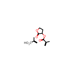 C=C(C)C(=O)O.C=C(C)C(=O)OC1CCOC1=O